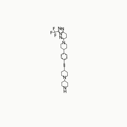 FC(F)(F)c1nnc2n1N=C(N1CCC(c3ccc(C#CC4CCN(C5CCNCC5)CC4)cc3)CC1)CC2